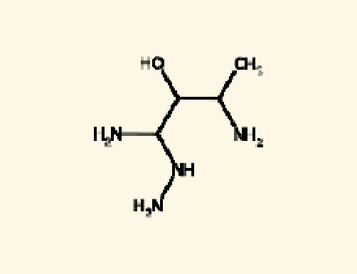 CC(N)C(O)C(N)NN